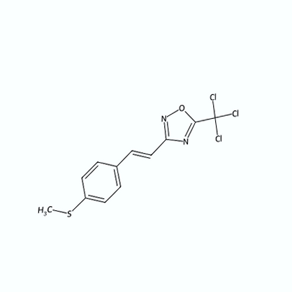 CSc1ccc(/C=C/c2noc(C(Cl)(Cl)Cl)n2)cc1